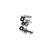 COc1cc(-c2nn(-c3cccc(N(C)S(=O)(=O)/C=C/CN(C)C)c3)c3ncnc(N)c23)ccc1C